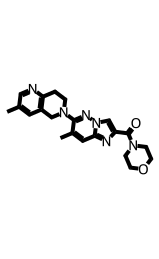 Cc1cnc2c(c1)CN(c1nn3cc(C(=O)N4CCOCC4)nc3cc1C)CC2